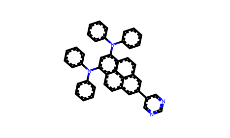 c1ccc(N(c2ccccc2)c2cc(N(c3ccccc3)c3ccccc3)c3ccc4cc(-c5cncnc5)cc5ccc2c3c54)cc1